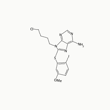 COc1ccc(I)c(Sc2nc3c(N)ncnc3n2CCCCCl)c1